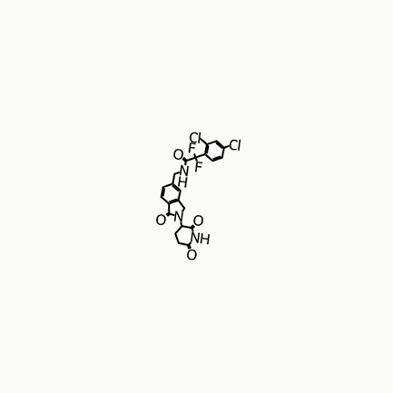 O=C1CCC(N2Cc3cc(CNC(=O)C(F)(F)c4ccc(Cl)cc4Cl)ccc3C2=O)C(=O)N1